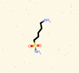 NCCCCCS(N)(=O)=O